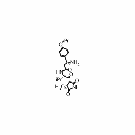 CC(C)Oc1ccc([C@@H](N)CC(=O)N[C@H](C(=O)[C@@H]2C(=O)NC(=O)[C@H]2C)C(C)C)cc1